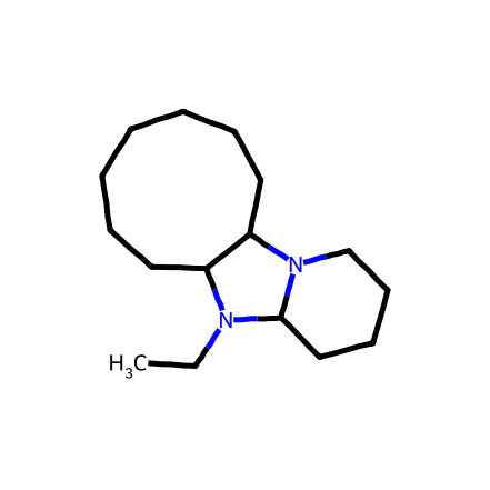 CCN1C2CCCCCCCC2N2CCCCC12